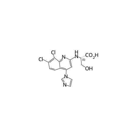 O=C(O)[C@H](CO)Nc1cc(-n2ccnc2)c2ccc(Cl)c(Cl)c2n1